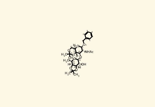 CC(=O)N[C@H]1[C@H](OCc2ccccc2)O[C@@H]2COC(C)(C)O[C@H]2[C@@H]1O[C@@H]1O[C@H](C)[C@@H]2OC(C)(C)O[C@@H]2[C@H]1O